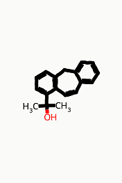 CC(C)(O)c1cccc2c1C=Cc1ccccc1C2